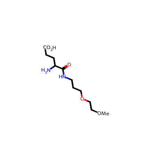 COCCOCCCNC(=O)C(N)CCC(=O)O